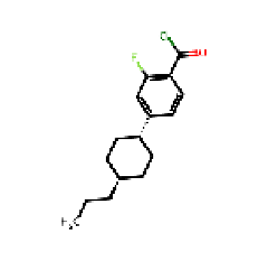 CCC[C@H]1CC[C@H](c2ccc(C(=O)Cl)c(F)c2)CC1